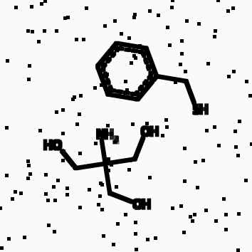 NC(CO)(CO)CO.SCc1ccccc1